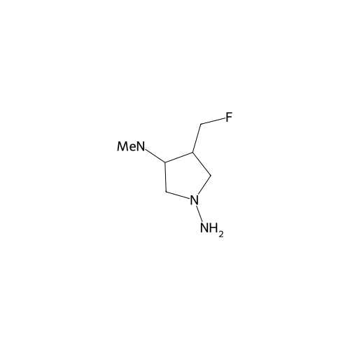 CNC1CN(N)CC1CF